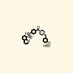 CCCCOc1cccc(CN2CCN(C(=O)c3ccc(N[S+]([O-])c4cccc5cccnc45)cc3)CC2)c1